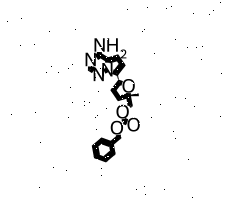 C[C@@]1(COC(=O)OCc2ccccc2)CC[C@H](c2ccc3c(N)ncnn23)O1